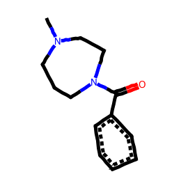 CN1CCCN(C(=O)c2cc[c]cc2)CC1